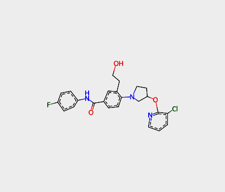 O=C(Nc1ccc(F)cc1)c1ccc(N2CCC(Oc3ncccc3Cl)C2)c(CCO)c1